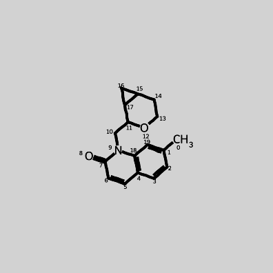 Cc1ccc2ccc(=O)n(CC3OCCC4CC43)c2c1